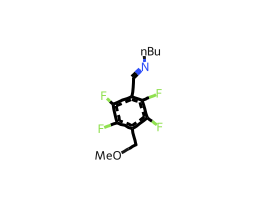 CCCCN=Cc1c(F)c(F)c(COC)c(F)c1F